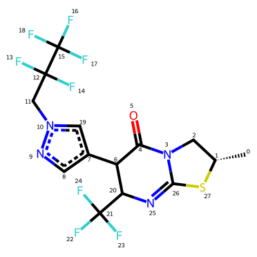 C[C@H]1CN2C(=O)C(c3cnn(CC(F)(F)C(F)(F)F)c3)C(C(F)(F)F)N=C2S1